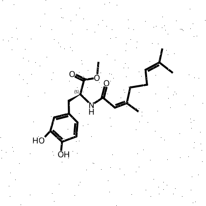 COC(=O)[C@H](Cc1ccc(O)c(O)c1)NC(=O)C=C(C)CCC=C(C)C